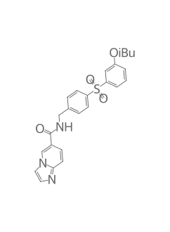 CC(C)COc1cccc(S(=O)(=O)c2ccc(CNC(=O)c3ccc4nccn4c3)cc2)c1